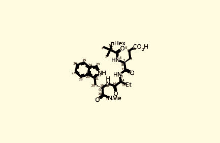 CCCCCCC(C)(C)C(=O)N[C@@H](CCC(=O)O)C(=O)NC(CC)C(=O)N[C@@H](Cc1[nH]cc2ccccc12)C(=O)NC